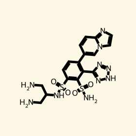 NCC(CN)NS(=O)(=O)c1ccc(-c2ccc3nccn3c2)c(-c2nn[nH]n2)c1S(N)(=O)=O